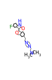 CN(C)CCN1CCN(CCc2ccc3c(c2)CO/C3=C2/C(=O)Nc3ccc(F)cc32)CC1